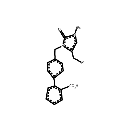 CC(C)Cc1cn(C(C)(C)C)c(=O)n1Cc1ccc(-c2ccccc2C(=O)O)cc1